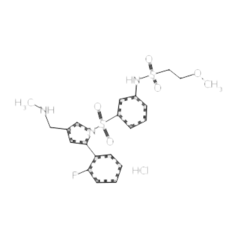 CNCc1cc(-c2ccccc2F)n(S(=O)(=O)c2cccc(NS(=O)(=O)CCOC)c2)c1.Cl